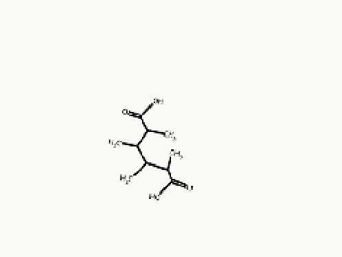 CC(C(=O)O)C(C)C(C)C(C)C(=O)O